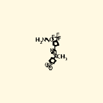 CN(c1ccc([N+](=O)[O-])cc1)n1cnc(-c2ccc(C(F)(F)F)c(OCCN)c2)c1